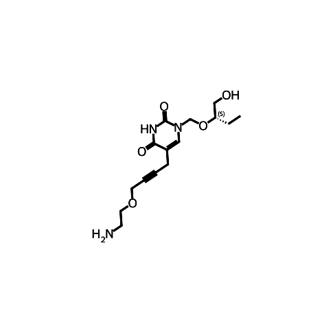 CC[C@@H](CO)OCn1cc(CC#CCOCCN)c(=O)[nH]c1=O